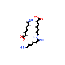 NCCCCCC(N)NCCCCCCC(=O)O.NCCCCCCC(=O)O